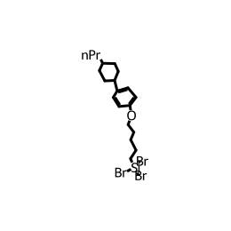 CCCC1CCC(c2ccc(OCCCCC[Si](Br)(Br)Br)cc2)CC1